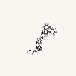 O=C(O)Cn1nnc(-c2nnc(N3CCC4(C=C(c5ccccc5Cl)c5ccccc5O4)CC3)s2)n1